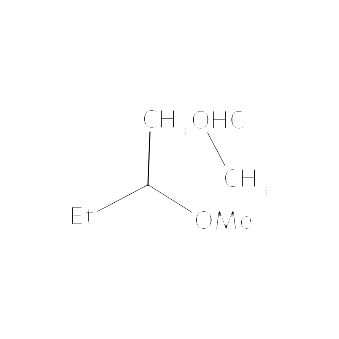 CC=O.CCC(C)OC